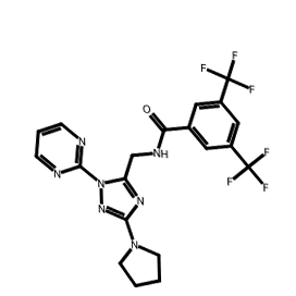 O=C(NCc1nc(N2CCCC2)nn1-c1ncccn1)c1cc(C(F)(F)F)cc(C(F)(F)F)c1